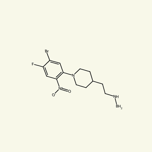 BNCCC1CCN(c2cc(Br)c(F)cc2[N+](=O)[O-])CC1